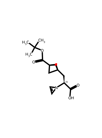 CC(C)(C)OC(=O)C12CC(C[C@@H](C(=O)O)N3C=C3)(C1)C2